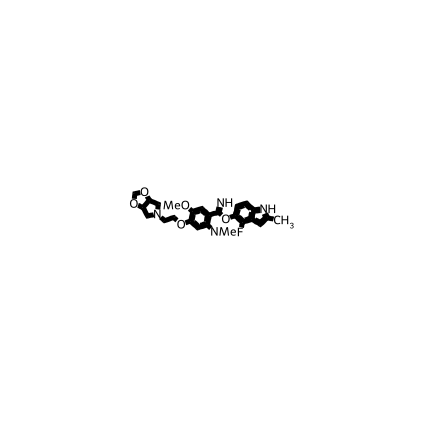 CNc1cc(OCCN2CC3OCOC3C2)c(OC)cc1C(=N)Oc1ccc2[nH]c(C)cc2c1F